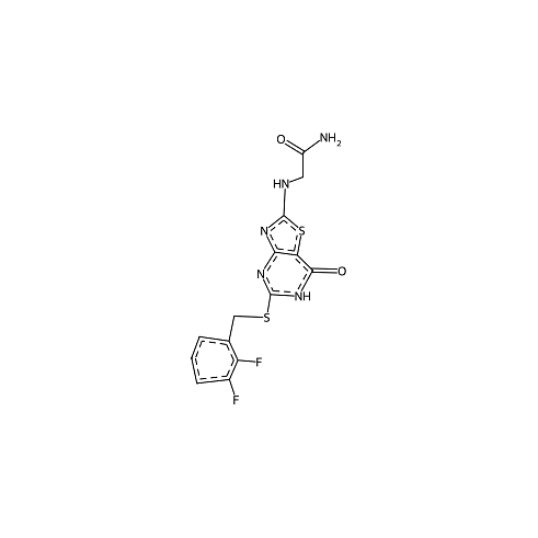 NC(=O)CNc1nc2nc(SCc3cccc(F)c3F)[nH]c(=O)c2s1